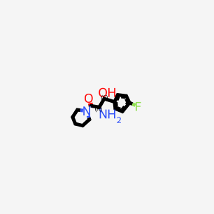 N[C@@H](C(=O)N1CCCCC1)[C@@H](O)c1ccc(F)cc1